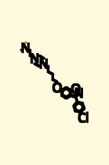 CN(C)CCN1CCN(CCCCCOc2ccc3c(-c4ccc(Cl)cc4)noc3c2)CC1